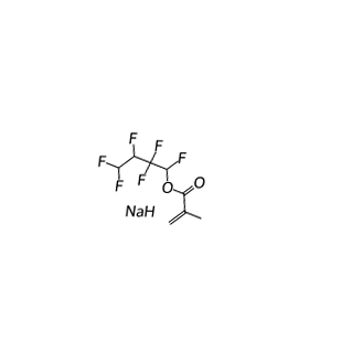 C=C(C)C(=O)OC(F)C(F)(F)C(F)C(F)F.[NaH]